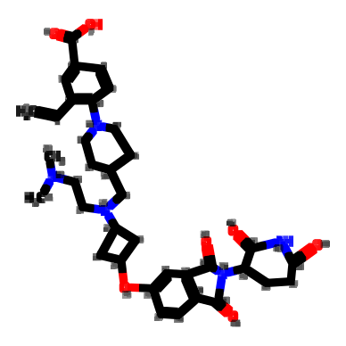 C=Cc1cc(C(=O)O)ccc1N1CCC(CN(CCN(C)C)C2CC(Oc3ccc4c(c3)C(=O)N(C3CCC(=O)NC3=O)C4=O)C2)CC1